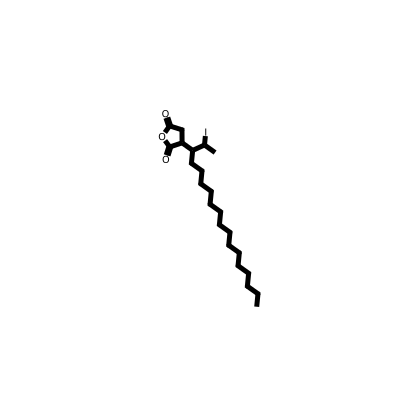 CCCCCCCCCCCCCCCC(C(C)I)C1CC(=O)OC1=O